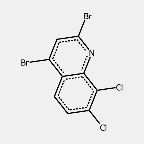 Clc1ccc2c(Br)cc(Br)nc2c1Cl